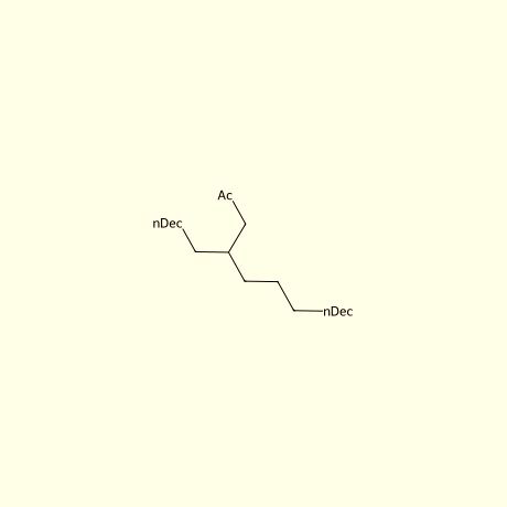 CCCCCCCCCCCCCC(CCCCCCCCCCC)CC(C)=O